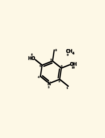 C.Cc1ncc(O)c(C)c1O